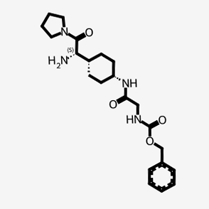 N[C@H](C(=O)N1CCCC1)[C@H]1CC[C@@H](NC(=O)CNC(=O)OCc2ccccc2)CC1